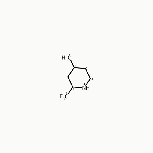 CC1CCNC(C(F)(F)F)C1